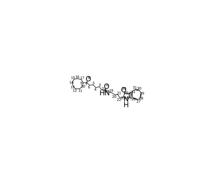 O=C(CCCCCC(=O)C1CCCCCCCC1)NCCCCC1NC2/C3=C/C=C\C=C/C(=C3)C2C1=O